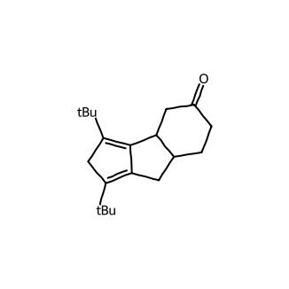 CC(C)(C)C1=C2CC3CCC(=O)CC3C2=C(C(C)(C)C)C1